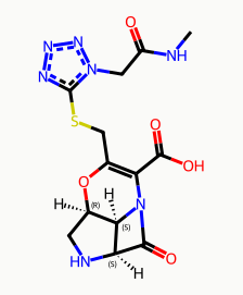 CNC(=O)Cn1nnnc1SCC1=C(C(=O)O)N2C(=O)[C@H]3NC[C@@H](O1)[C@H]32